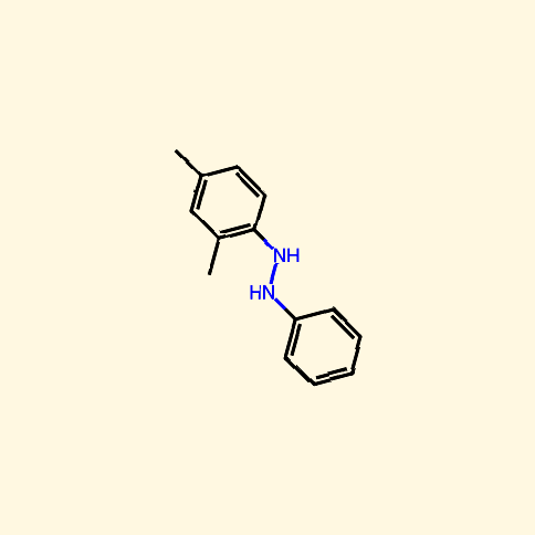 Cc1ccc(NNc2ccccc2)c(C)c1